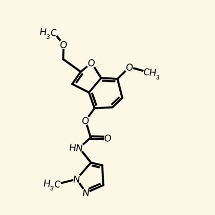 COCc1cc2c(OC(=O)Nc3ccnn3C)ccc(OC)c2o1